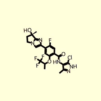 Cc1n[nH]c(Cl)c1NC(=O)c1cc(F)c(-c2cn3c(n2)[C@@](C)(O)CC3)cc1OC(C)C(F)(F)F